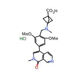 COc1cc(-c2cn(C)c(=O)c3cnccc23)cc(OC)c1CN(C)C12CC(C(=O)O)(C1)C2.Cl